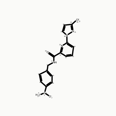 C[S+]([O-])c1ccc(CNC(=O)c2cccc(-n3ccc(C(F)(F)F)n3)n2)cc1